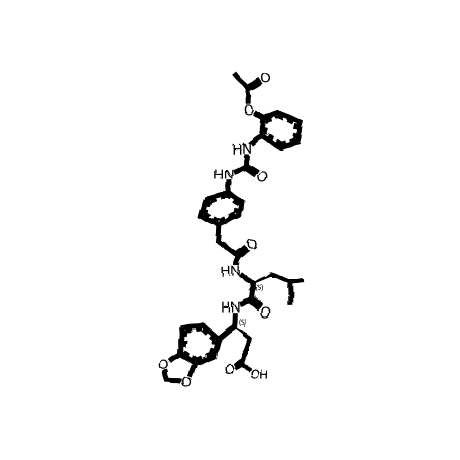 CC(=O)Oc1ccccc1NC(=O)Nc1ccc(CC(=O)N[C@@H](CC(C)C)C(=O)N[C@@H](CC(=O)O)c2ccc3c(c2)OCO3)cc1